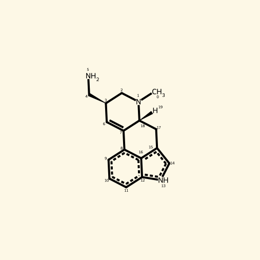 CN1C[C@H](CN)C=C2c3cccc4[nH]cc(c34)C[C@H]21